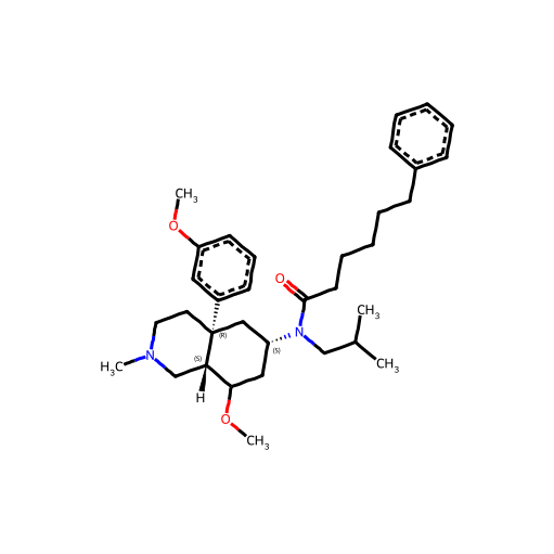 COc1cccc([C@@]23CCN(C)C[C@H]2C(OC)C[C@@H](N(CC(C)C)C(=O)CCCCCc2ccccc2)C3)c1